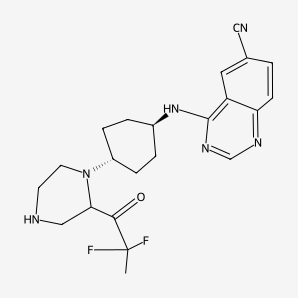 CC(F)(F)C(=O)C1CNCCN1[C@H]1CC[C@H](Nc2ncnc3ccc(C#N)cc23)CC1